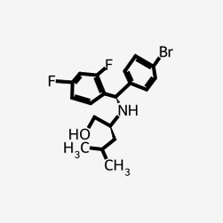 CC(C)C[C@@H](CO)N[C@@H](c1ccc(Br)cc1)c1ccc(F)cc1F